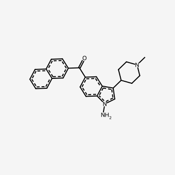 CN1CCC(c2cn(N)c3ccc(C(=O)c4ccc5ccccc5c4)cc23)CC1